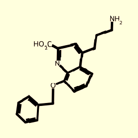 NCCCc1cc(C(=O)O)nc2c(OCc3ccccc3)cccc12